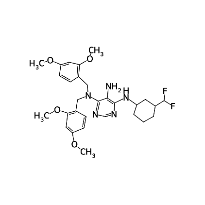 COc1ccc(CN(Cc2ccc(OC)cc2OC)c2ncnc(NC3CCCC(C(F)F)C3)c2N)c(OC)c1